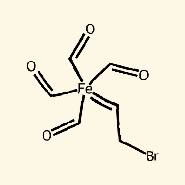 O=[CH][Fe]([CH]=O)([CH]=O)([CH]=O)=[CH]CBr